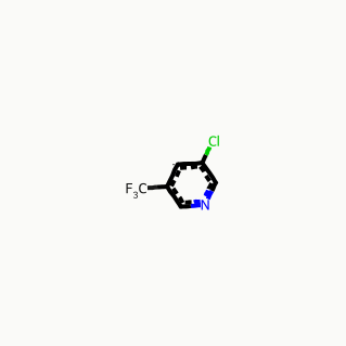 FC(F)(F)c1[c]c(Cl)cnc1